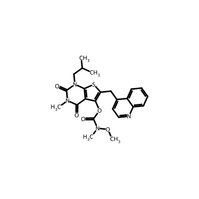 CON(C)C(=O)Oc1c(Cc2ccnc3ccccc23)sc2c1c(=O)n(C)c(=O)n2CC(C)C